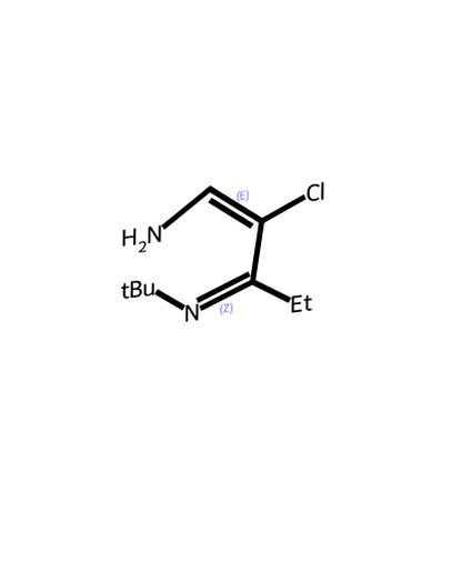 CCC(=N/C(C)(C)C)/C(Cl)=C\N